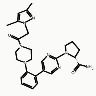 Cc1cc(C)n(CC(=O)N2CCN(c3ccccc3-c3cnc(N4CCC[C@@H]4C(N)=O)nc3)CC2)n1